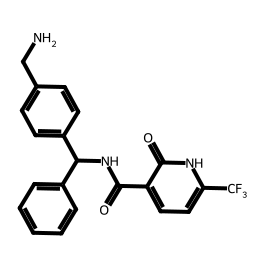 NCc1ccc(C(NC(=O)c2ccc(C(F)(F)F)[nH]c2=O)c2ccccc2)cc1